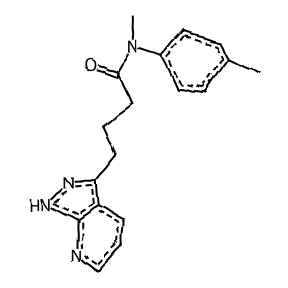 Cc1ccc(N(C)C(=O)CCCc2n[nH]c3ncccc23)cc1